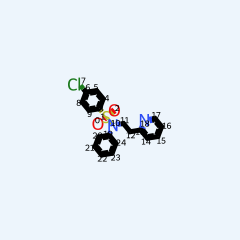 O=S(=O)(c1ccc(Cl)cc1)N(CCc1ccccn1)c1ccccc1